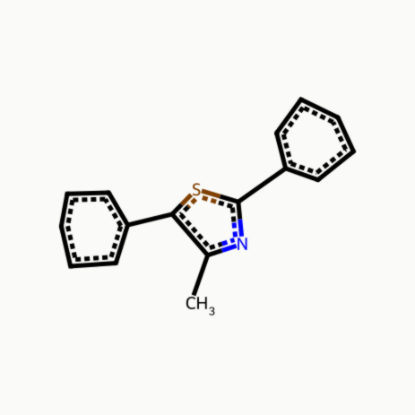 Cc1nc(-c2ccccc2)sc1-c1ccccc1